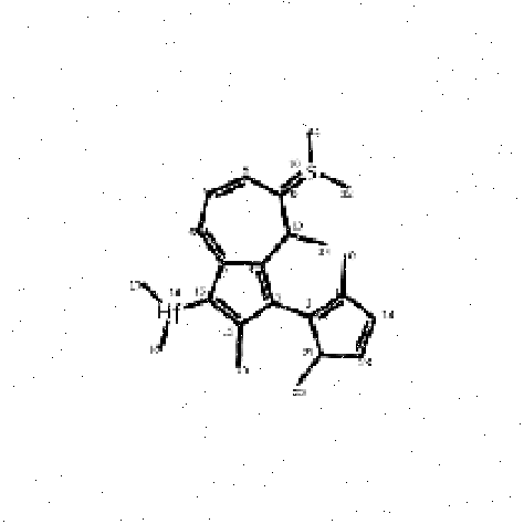 CC1=C(C2=C3C(=CC=CC(=[Si](C)C)C3C)[C]([Hf]([CH3])[CH3])=C2C)C(C)C=C1